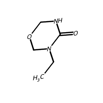 CCN1COCNC1=O